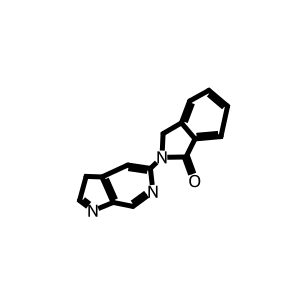 O=C1c2ccccc2CN1c1cc2c(cn1)N=CC2